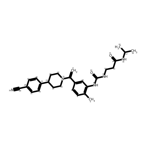 C=C(c1ccc(C)c(NC(=O)NCCC(=O)NC(C)C)c1)N1CCC(c2ccc(C#N)cc2)CC1